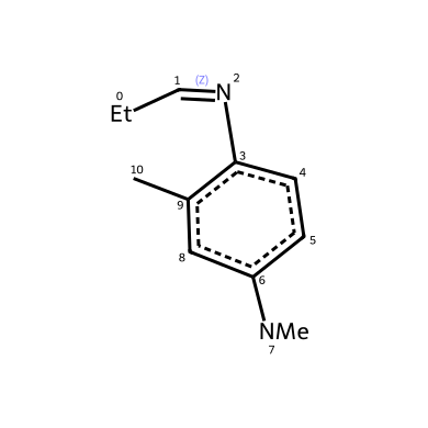 CC/C=N\c1ccc(NC)cc1C